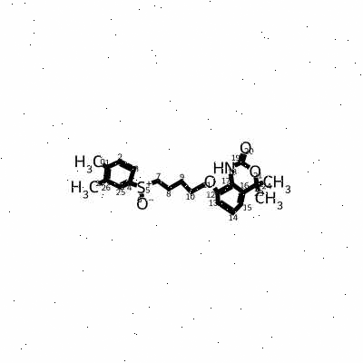 Cc1ccc([S+]([O-])CCCCOc2cccc3c2NC(=O)OC3(C)C)cc1C